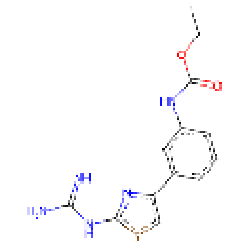 CCOC(=O)Nc1cccc(-c2csc(NC(=N)N)n2)c1